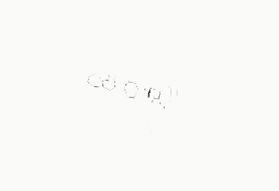 Cc1c(-c2ccc(-n3cc(C(=O)O)c(N(C(=O)[C@H]4CC[C@H](C)CC4)C4CCOCC4)n3)cc2)[nH]c2ccccc12